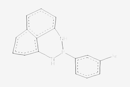 Brc1cccc(B2Nc3cccc4cccc(c34)N2)c1